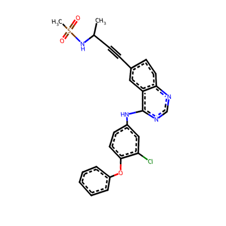 CC(C#Cc1ccc2ncnc(Nc3ccc(Oc4ccccc4)c(Cl)c3)c2c1)NS(C)(=O)=O